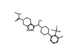 CNC(=O)N1CCc2c(C(O)N3CCC(c4cccc(F)c4C(F)(F)F)CC3)n[nH]c2C1